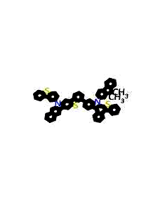 CC1(C)c2ccccc2-c2ccc(-n3c4cc(-c5cccc6c5sc5cc7c8cc9ccccc9cc8n(-c8ccc9sc%10ccccc%10c9c8)c7cc56)ccc4c4c5ccccc5c5c6ccccc6sc5c43)cc21